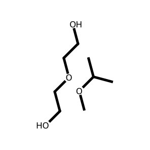 COC(C)C.OCCOCCO